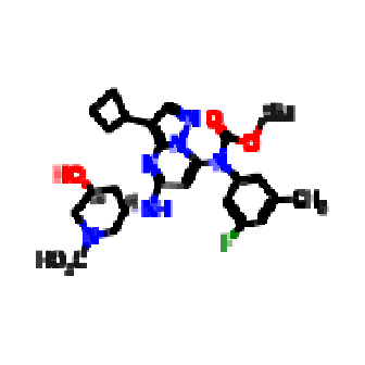 Cc1cc(F)cc(N(C(=O)OC(C)(C)C)c2cc(N[C@H]3C[C@H](O)CN(C(=O)O)C3)nc3c(C4CCC4)cnn23)c1